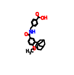 COc1ccc(C(=O)NCc2ccc(C(=O)O)cc2)cc1C12CC3CC(CC(C3)C1)C2